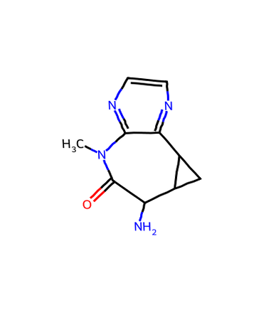 CN1C(=O)C(N)C2CC2c2nccnc21